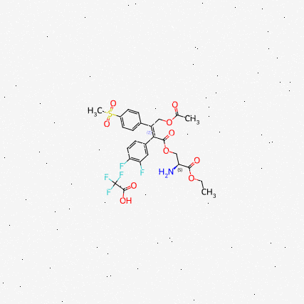 CCOC(=O)[C@@H](N)COC(=O)/C(=C(\COC(C)=O)c1ccc(S(C)(=O)=O)cc1)c1ccc(F)c(F)c1.O=C(O)C(F)(F)F